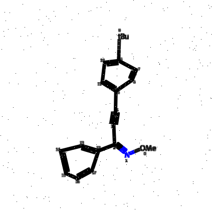 CON=C(C#Cc1ccc(C(C)(C)C)cc1)c1ccccc1